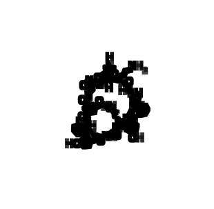 C[C@H]1NC(=O)C(Cc2ccc(O)cc2)NC(=O)C(c2ccccc2)NC(=O)c2cc3cc(c2)C(=O)NCC(C(N)=O)NC(=O)C(Cc2c[nH]cn2)NC(=O)C(CCCCN)NC(=O)CNC(=O)C(Cc2ccccc2)NC(=O)C(Cc2ccc(O)cc2)NC(=O)[C@H](CCCCNC3=O)NC1=O